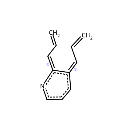 C=C/C=c1/cccn/c1=C/C=C